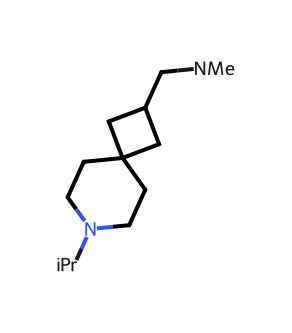 CNCC1CC2(CCN(C(C)C)CC2)C1